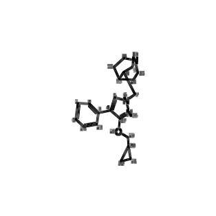 c1ccc(-c2cn(CC3CN4CCC3CC4)nc2OCC2CC2)cc1